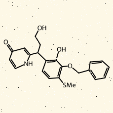 CSc1ccc(C(CCO)c2cc(=O)cc[nH]2)c(O)c1OCc1ccccc1